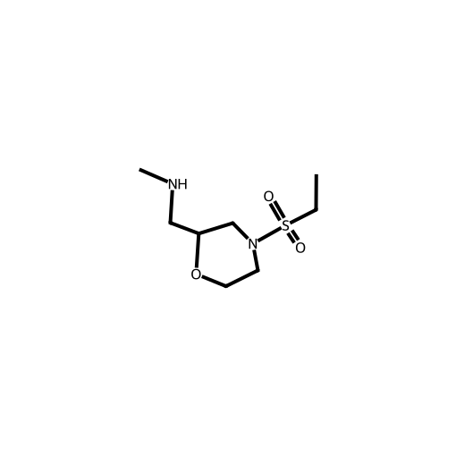 CCS(=O)(=O)N1CCOC(CNC)C1